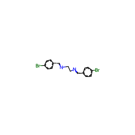 Brc1ccc(/C=N/CC/N=C/c2ccc(Br)cc2)cc1